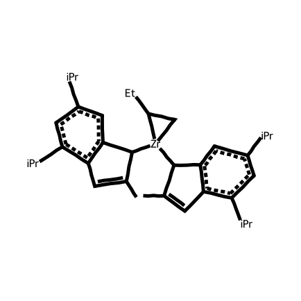 CC[CH]1[CH2][Zr]1([CH]1C(C)=Cc2c(C(C)C)cc(C(C)C)cc21)[CH]1C(C)=Cc2c(C(C)C)cc(C(C)C)cc21